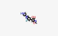 Cc1nc2c(C)c(O)c(-c3cc(F)c4nn(C5CCNCC5)cc4c3)cc2o1